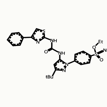 CCOS(=N)(=O)c1ccc(-n2nc(C(C)(C)C)cc2NC(=O)Nc2nc(-c3ccccc3)cs2)cc1